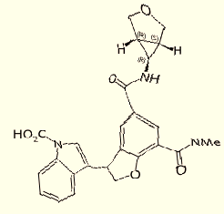 CNC(=O)c1cc(C(=O)N[C@H]2[C@@H]3COC[C@@H]32)cc2c1OCC2c1cn(C(=O)O)c2ccccc12